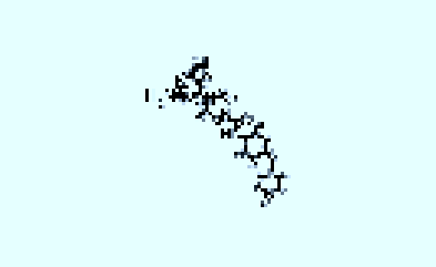 Cc1cc(CN2CCN(C)CC2)ccc1NC(=O)N1CCN(c2nc(N)nc3scnc23)C(C)C1